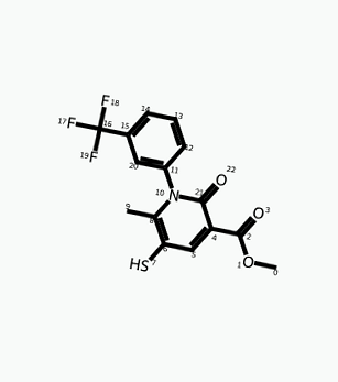 COC(=O)c1cc(S)c(C)n(-c2cccc(C(F)(F)F)c2)c1=O